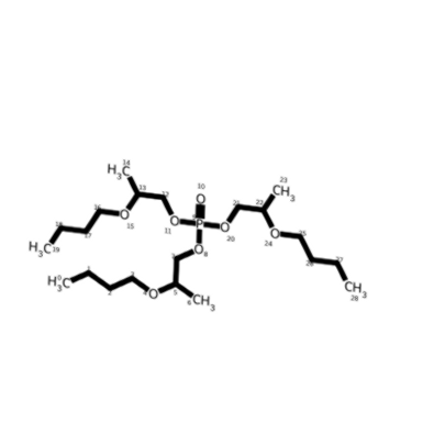 CCCCOC(C)COP(=O)(OCC(C)OCCCC)OCC(C)OCCCC